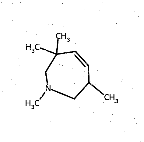 CC1C=CC(C)(C)CN(C)C1